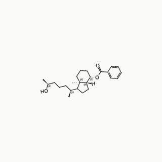 C[C@H](O)CCC[C@H](C)C1CC[C@H]2[C@@H](OC(=O)c3ccccc3)CCC[C@]12C